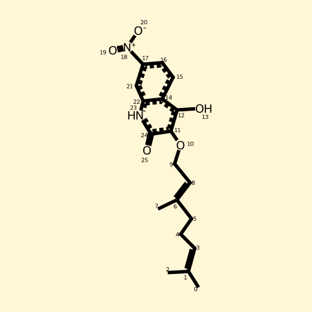 CC(C)=CCC/C(C)=C/COc1c(O)c2ccc([N+](=O)[O-])cc2[nH]c1=O